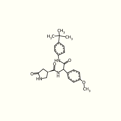 COc1ccc(C(NC(=O)[C@H]2CNC(=O)C2)C(=O)Nc2ccc(C(C)(C)C)cc2)cc1